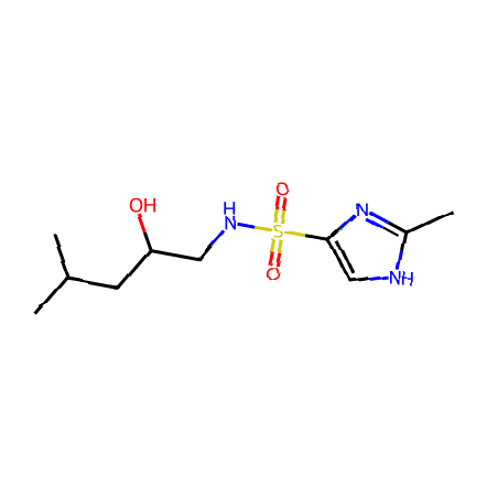 Cc1nc(S(=O)(=O)NCC(O)CC(C)C)c[nH]1